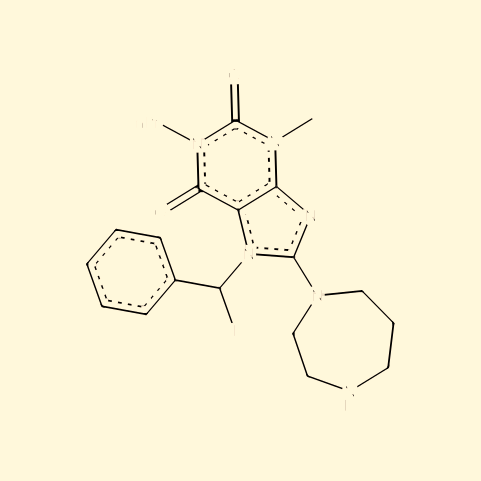 CCCn1c(=O)c2c(nc(N3CCCNCC3)n2C(I)c2ccccc2)n(C)c1=O